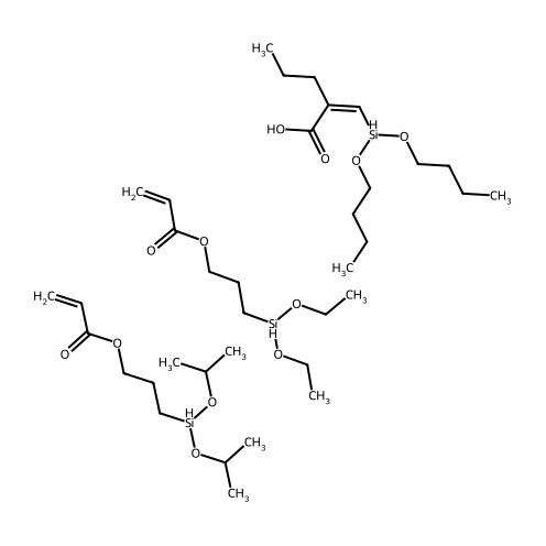 C=CC(=O)OCCC[SiH](OC(C)C)OC(C)C.C=CC(=O)OCCC[SiH](OCC)OCC.CCCCO[SiH](C=C(CCC)C(=O)O)OCCCC